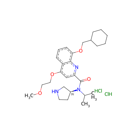 COCCOc1cc(C(=O)N(C(C)C)[C@H]2CCNC2)nc2c(OCC3CCCCC3)cccc12.Cl.Cl